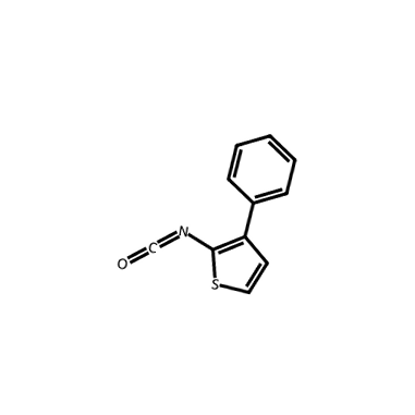 O=C=Nc1sccc1-c1ccccc1